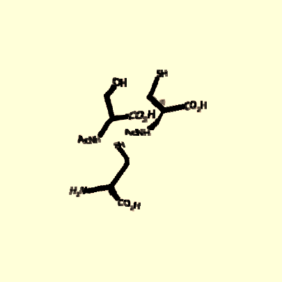 CC(=O)NC(CO)C(=O)O.CC(=O)N[C@@H](CS)C(=O)O.NC(CS)C(=O)O